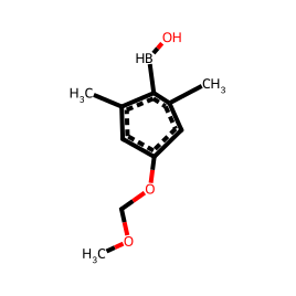 COCOc1cc(C)c(BO)c(C)c1